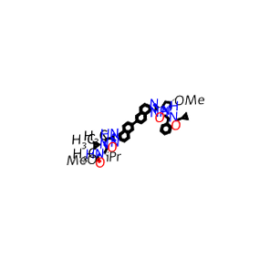 COC[C@H]1C[C@@H](c2nc3ccc4cc(-c5ccc6c(ccc7nc([C@H](C)N(C(=O)[C@@H](NC(=O)OC)C(C)C)[C@@H]8[C@H](C)[C@@H]8C)[nH]c76)c5)ccc4c3[nH]2)N(C(=O)[C@H](NC(=O)C2CC2)c2ccccc2)C1